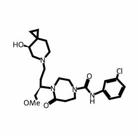 COC[C@@H](CCN1CCC2(CC2)[C@H](O)C1)N1CCN(C(=O)Nc2cccc(Cl)c2)CCC1=O